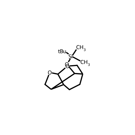 CC(C)(C)[Si](C)(C)OC1C2CCC3C(OC2)OCC31